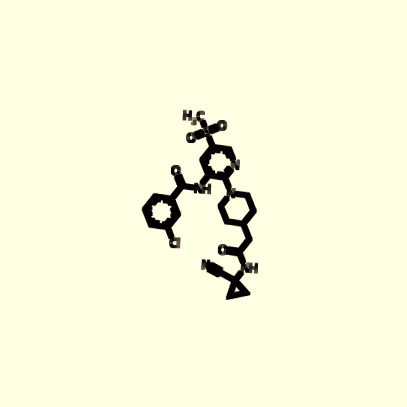 CS(=O)(=O)c1cnc(N2CCC(CC(=O)NC3(C#N)CC3)CC2)c(NC(=O)c2cccc(Cl)c2)c1